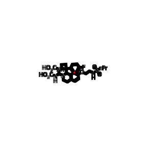 CCCS(=O)(=O)NCCOc1ccc2c(c1)C(C1(c3ccc(F)cc3)CCC1)N(C(NC(=O)O)NC(=O)O)CC2